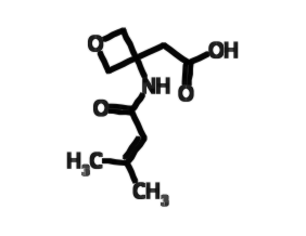 CC(C)=CC(=O)NC1(CC(=O)O)COC1